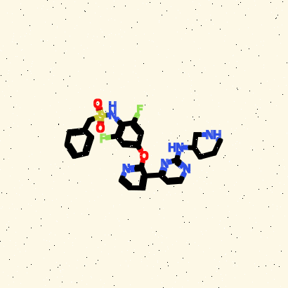 O=S(=O)(Cc1ccccc1)Nc1c(F)cc(Oc2ncccc2-c2ccnc(NC3CCCNC3)n2)cc1F